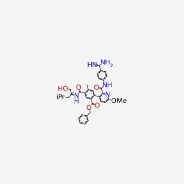 COc1ccc(-c2cc(C)c(C(=O)N[C@H](CO)CC(C)C)cc2C(=O)OCc2ccccc2)c(C(=O)Nc2ccc(C(=N)N)cc2)n1